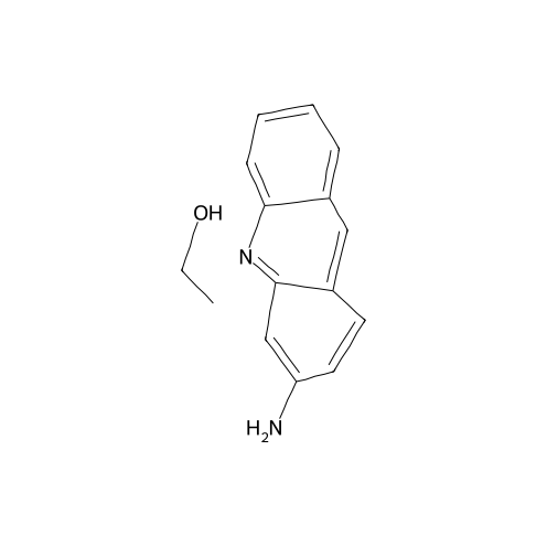 CCO.Nc1ccc2cc3ccccc3nc2c1